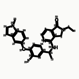 CCN1Cc2c(ccnc2NC(C)c2ccc(Oc3ccc4c(ccn4C)c3)c(F)c2)C1=O